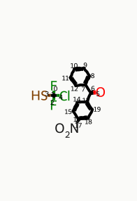 FC(F)(S)Cl.O=C(c1ccccc1)c1ccc([N+](=O)[O-])cc1